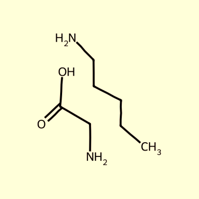 CCCCCN.NCC(=O)O